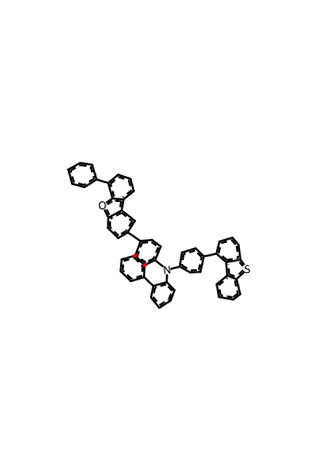 c1ccc(-c2ccccc2N(c2ccc(-c3ccc4oc5c(-c6ccccc6)cccc5c4c3)cc2)c2ccc(-c3cccc4sc5ccccc5c34)cc2)cc1